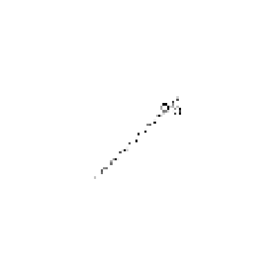 [CH]C(=O)OCCCCCCCCCCCCCCCC